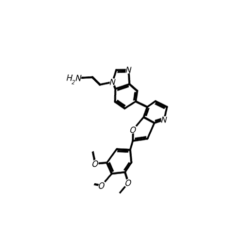 COc1cc(-c2cc3nccc(-c4ccc5c(c4)ncn5CCN)c3o2)cc(OC)c1OC